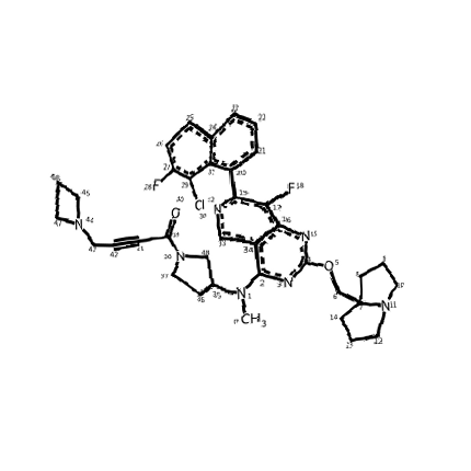 CN(c1nc(OCC23CCCN2CCC3)nc2c(F)c(-c3cccc4ccc(F)c(Cl)c34)ncc12)C1CCN(C(=O)C#CCN2CCC2)C1